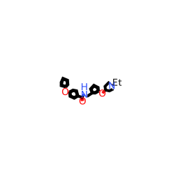 CCN1CCC(Oc2cccc(CNC(=O)c3ccc(Oc4ccccc4)cc3)c2)CC1